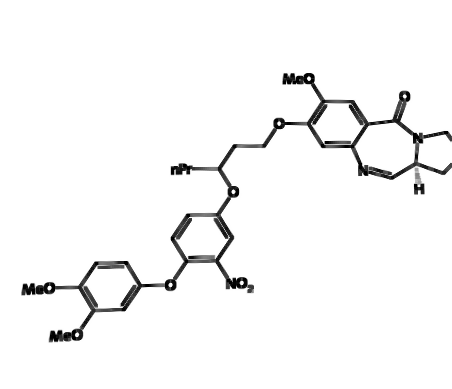 CCCC(CCOc1cc2c(cc1OC)C(=O)N1CCC[C@H]1C=N2)Oc1ccc(Oc2ccc(OC)c(OC)c2)c([N+](=O)[O-])c1